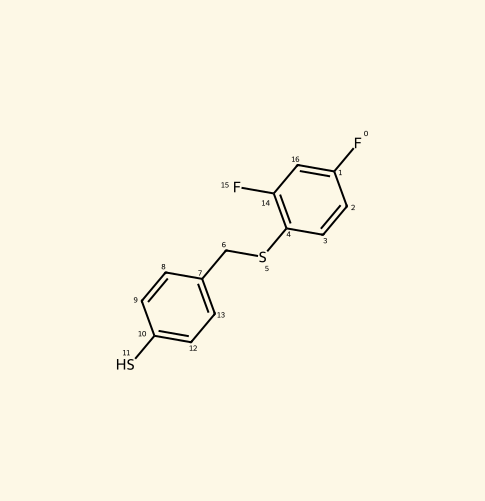 Fc1ccc(SCc2ccc(S)cc2)c(F)c1